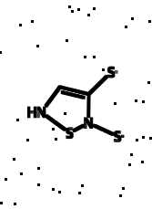 [S]C1=CNSN1[S]